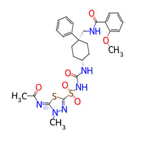 COc1ccccc1C(=O)NC[C@]1(c2ccccc2)CC[C@H](NC(=O)NS(=O)(=O)c2nn(C)/c(=N/C(C)=O)s2)CC1